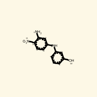 Nc1cc(Nc2cccc(O)c2)ccc1[N+](=O)[O-]